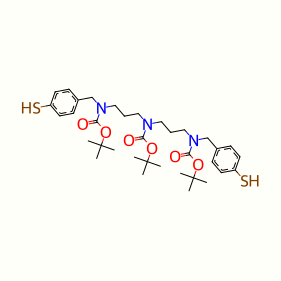 CC(C)(C)OC(=O)N(CCCN(Cc1ccc(S)cc1)C(=O)OC(C)(C)C)CCCN(Cc1ccc(S)cc1)C(=O)OC(C)(C)C